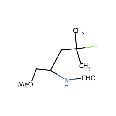 COCC(CC(C)(C)F)NC=O